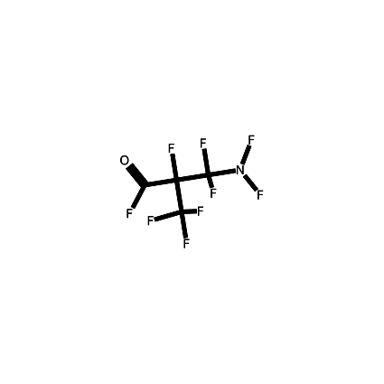 O=C(F)C(F)(C(F)(F)F)C(F)(F)N(F)F